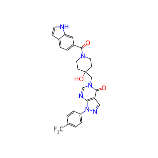 O=C(c1ccc2cc[nH]c2c1)N1CCC(O)(Cn2cnc3c(cnn3-c3ccc(C(F)(F)F)cc3)c2=O)CC1